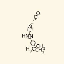 CC(C)(C)c1ccc(-c2c[nH]c(C3CCN(CCCCOC=O)CC3)n2)cc1